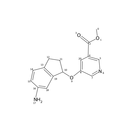 COC(=O)c1cncc(OC2CCc3ccc(N)cc32)c1